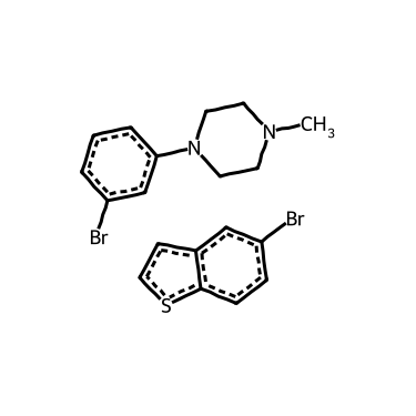 Brc1ccc2sccc2c1.CN1CCN(c2cccc(Br)c2)CC1